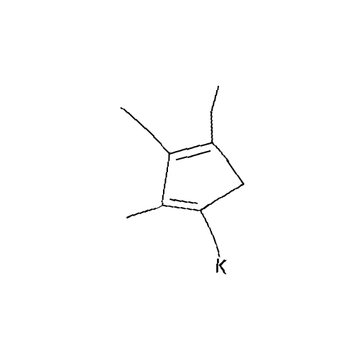 CC1=C(C)C(C)=[C]([K])C1